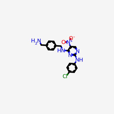 NCc1ccc(CNc2nc(Nc3ccc(Cl)cc3)ncc2[N+](=O)[O-])cc1